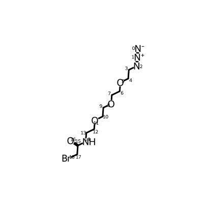 [N-]=[N+]=NCCOCCOCCOCCNC(=O)CBr